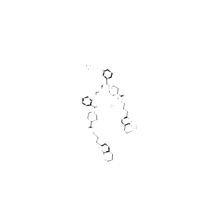 COc1cccc(C(C(=O)OCOc2ccccc2C(C(=O)O)N2CCC(C(=O)NCCCc3ccc4c(n3)NCCC4)CC2)N2CCC(C(=O)NCCCc3ccc4c(n3)NCCC4)CC2)c1